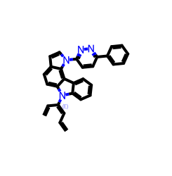 C=C/C=C(\C=C)n1c2ccccc2c2c3c(ccc21)ccn3-c1ccc(-c2ccccc2)nn1